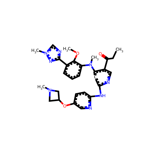 CCC(=O)c1cnc(Nc2ccc(OC3CN(C)C3)cn2)cc1N(C)c1cccc(-c2ncn(C)n2)c1OC